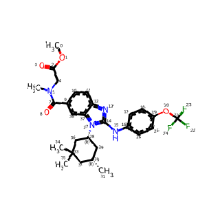 COC(=O)CN(C)C(=O)c1ccc2nc(Nc3ccc(OC(F)(F)F)cc3)n([C@@H]3C[C@H](C)CC(C)(C)C3)c2c1